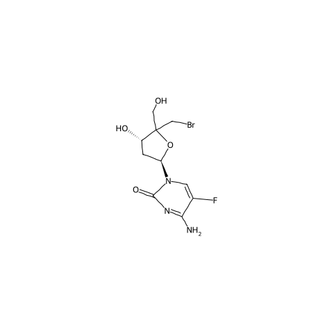 Nc1nc(=O)n([C@H]2C[C@H](O)C(CO)(CBr)O2)cc1F